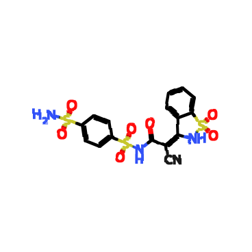 N#CC(C(=O)NS(=O)(=O)c1ccc(S(N)(=O)=O)cc1)=C1NS(=O)(=O)c2ccccc21